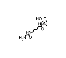 CN(CC(=O)O)NC(=O)CCCCNC(=O)CN